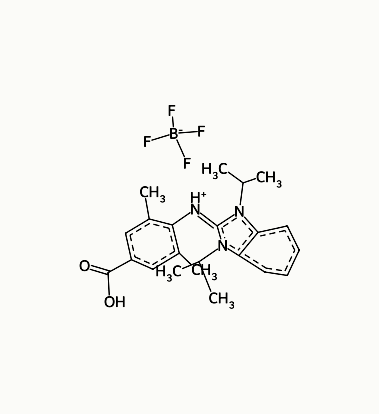 Cc1cc(C(=O)O)cc(C)c1[NH+]=c1n(C(C)C)c2ccccc2n1C(C)C.F[B-](F)(F)F